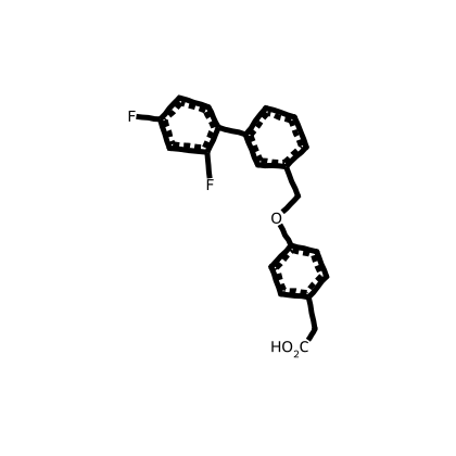 O=C(O)Cc1ccc(OCc2cccc(-c3ccc(F)cc3F)c2)cc1